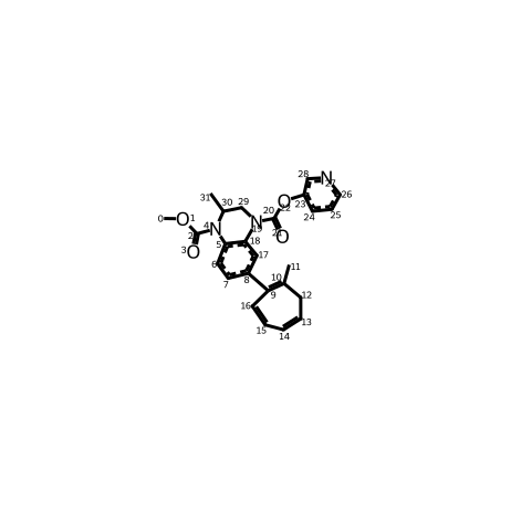 COC(=O)N1c2ccc(C3=C(C)CC=CC=C3)cc2N(C(=O)Oc2cccnc2)CC1C